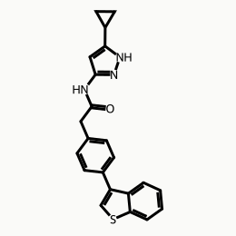 O=C(Cc1ccc(-c2csc3ccccc23)cc1)Nc1cc(C2CC2)[nH]n1